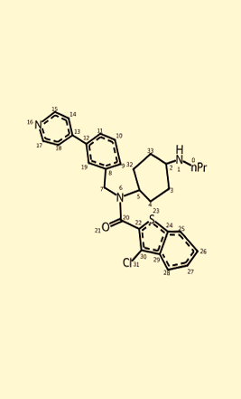 CCCNC1CCC(N(Cc2cccc(-c3ccncc3)c2)C(=O)c2sc3ccccc3c2Cl)CC1